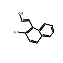 ON=Cc1c(O)ccc2ccccc12